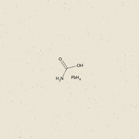 NC(=O)O.[PbH4]